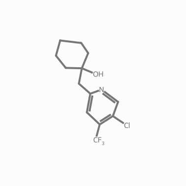 OC1(Cc2cc(C(F)(F)F)c(Cl)cn2)CCCCC1